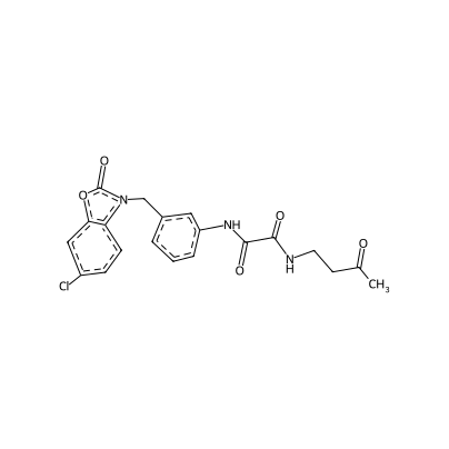 CC(=O)CCNC(=O)C(=O)Nc1cccc(Cn2c(=O)oc3cc(Cl)ccc32)c1